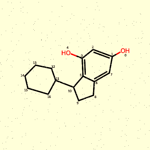 Oc1cc(O)c2c(c1)CCC2C1CCCCC1